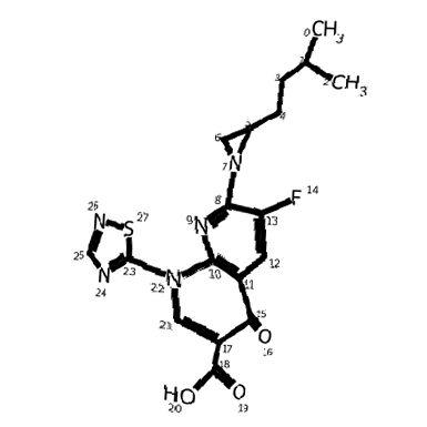 CC(C)CCC1CN1c1nc2c(cc1F)c(=O)c(C(=O)O)cn2-c1ncns1